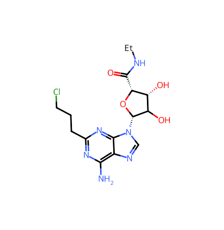 CCNC(=O)[C@H]1O[C@@H](n2cnc3c(N)nc(CCCCl)nc32)C(O)[C@H]1O